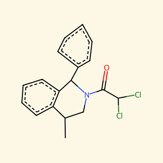 CC1CN(C(=O)C(Cl)Cl)C(c2ccccc2)c2ccccc21